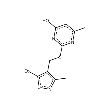 CCc1onc(C)c1CSc1nc(C)cc(O)n1